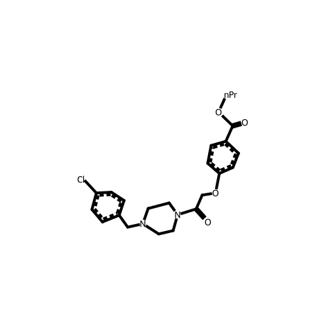 CCCOC(=O)c1ccc(OCC(=O)N2CCN(Cc3ccc(Cl)cc3)CC2)cc1